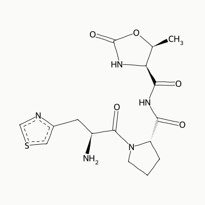 C[C@@H]1OC(=O)N[C@@H]1C(=O)NC(=O)[C@@H]1CCCN1C(=O)[C@@H](N)Cc1cscn1